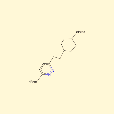 CCCCCc1ccc(CCC2CCC(CCCCC)CC2)nn1